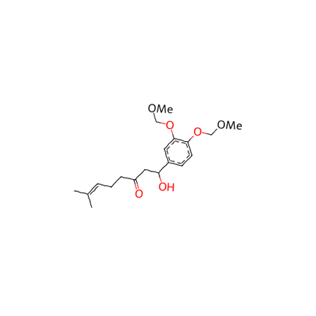 COCOc1ccc(C(O)CC(=O)CCC=C(C)C)cc1OCOC